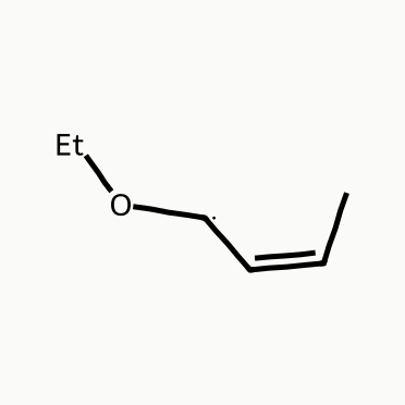 C/C=C\[CH]OCC